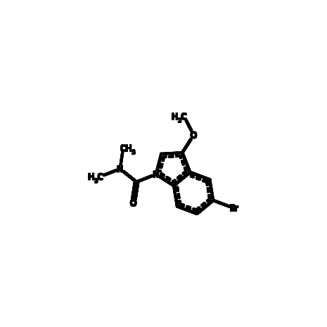 COc1cn(C(=O)N(C)C)c2ccc(Br)cc12